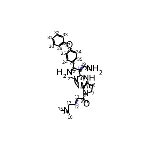 CNN(C)C(NC1CCN(C(=O)/C=C/CN(C)C)C1)/C(=C\N)C(N)c1ccc(Oc2ccccc2)cc1